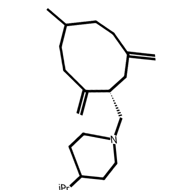 C=C1CCC(C)CCC(=C)[C@@H](CN2CCC(C(C)C)CC2)C1